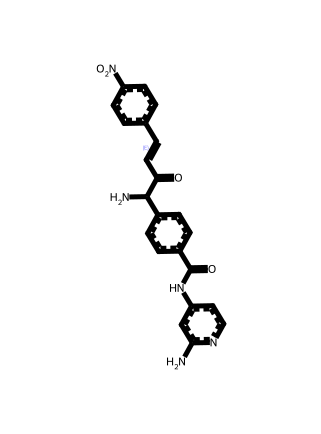 Nc1cc(NC(=O)c2ccc(C(N)C(=O)/C=C/c3ccc([N+](=O)[O-])cc3)cc2)ccn1